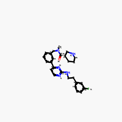 CCN(Cc1cccc(-c2ccnc(NCCc3cccc(F)c3)n2)c1)C(=O)[C@H]1CCCNC1